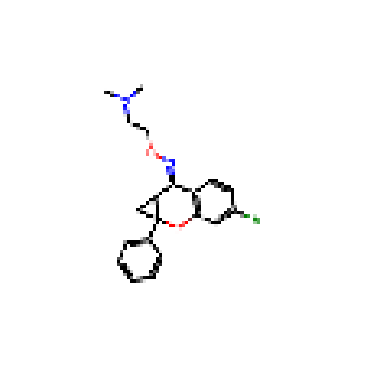 CN(C)CCON=C1c2ccc(Br)cc2OC2(c3ccccc3)CC12